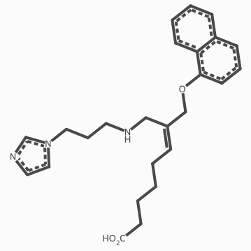 O=C(O)CCCCC=C(CNCCCn1ccnc1)COc1cccc2ccccc12